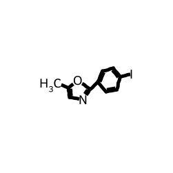 Cc1cnc(-c2ccc(I)cc2)o1